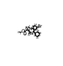 CCOC(=O)c1ncn2c1C(C)N=C(c1ccccc1)c1cc(Br)ccc1-2